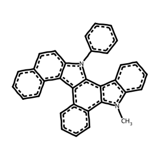 Cn1c2ccccc2c2c1c1ccccc1c1c3c4ccccc4ccc3n(-c3ccccc3)c12